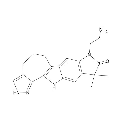 CC1(C)C(=O)N(CCN)c2cc3c4c([nH]c3cc21)-c1n[nH]cc1CCC4